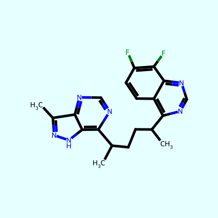 Cc1n[nH]c2c(C(C)CCC(C)c3ncnc4c(F)c(F)ccc34)ncnc12